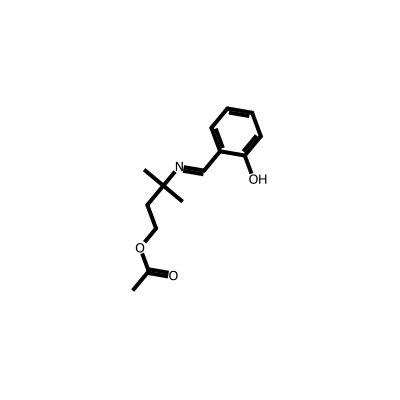 CC(=O)OCCC(C)(C)/N=C/c1ccccc1O